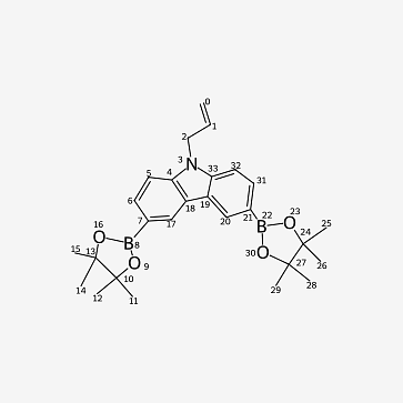 C=CCn1c2ccc(B3OC(C)(C)C(C)(C)O3)cc2c2cc(B3OC(C)(C)C(C)(C)O3)ccc21